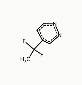 CC(F)(F)c1ccnnc1